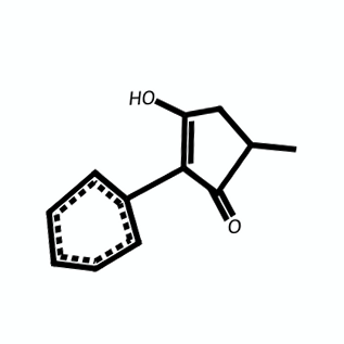 CC1CC(O)=C(c2ccccc2)C1=O